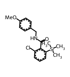 COc1ccc(CNC(=O)c2c(Cl)cccc2[Si](C)(C)C)cc1